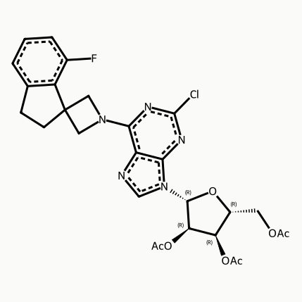 CC(=O)OC[C@H]1O[C@@H](n2cnc3c(N4CC5(CCc6cccc(F)c65)C4)nc(Cl)nc32)[C@H](OC(C)=O)[C@@H]1OC(C)=O